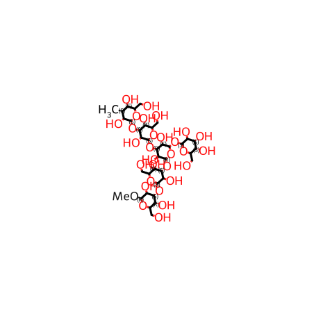 CO[C@@H]1OC(CO)[C@@H](O)[C@H](O[C@@H]2OC(CO)[C@@H](O)[C@H](O[C@@H]3OC(O[C@@H]4OC(CO)[C@@H](O)[C@H](O)C4O)[C@@H](O)[C@H](O[C@@H]4OC(CO)[C@@H](O)[C@H](O[C@@H]5OC(CO)[C@@H](O)[C@H](C)C5O)C4O)C3O)C2O)C1O